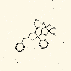 CC(C)(C)OC(=O)N(CCCc1ccccc1)C(C)(B1OC(C)(C)C(C)(C)O1)c1ccccc1